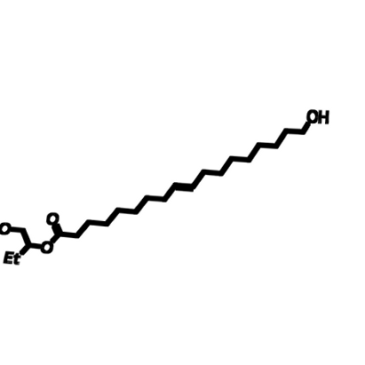 CCC(CO)OC(=O)CCCCCCC/C=C/CCCCCCCCO